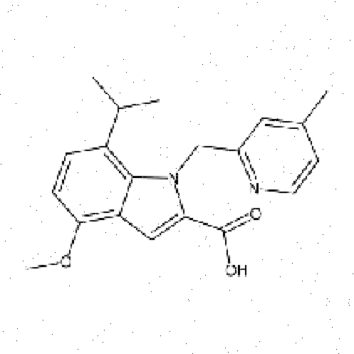 COc1ccc(C(C)C)c2c1cc(C(=O)O)n2Cc1cc(C)ccn1